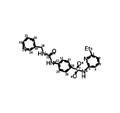 CCc1cccc(NS(=O)(=O)c2ccc(NC(=O)NCc3cccnc3)cc2)n1